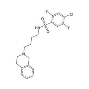 O=S(=O)(NCCCCN1CCc2ccccc2C1)c1cc(F)c(Cl)cc1F